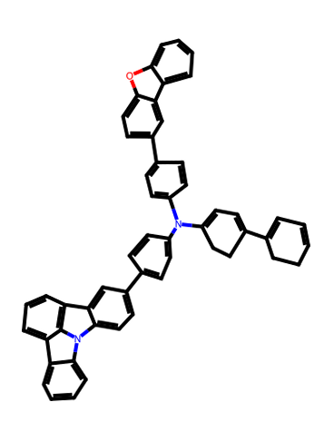 C1=CCCC(C2=CC=C(N(c3ccc(-c4ccc5oc6ccccc6c5c4)cc3)c3ccc(-c4ccc5c(c4)c4cccc6c7ccccc7n5c64)cc3)CC2)=C1